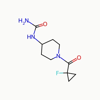 NC(=O)NC1CCN(C(=O)C2(F)CC2)CC1